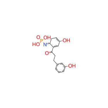 O=C(CCc1cccc(O)c1)C1=CC(O)=CCC1=NP(=O)(O)O